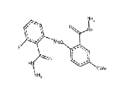 COc1ccc(OC)c(C(=O)NN)c1.NNC(=O)c1c(F)cccc1F